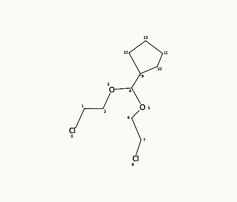 ClCCOC(OCCCl)[C]1CCCC1